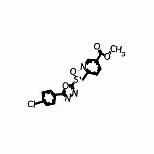 COC(=O)c1ccc(C[S+]([O-])c2nnc(-c3ccc(Cl)cc3)o2)nc1